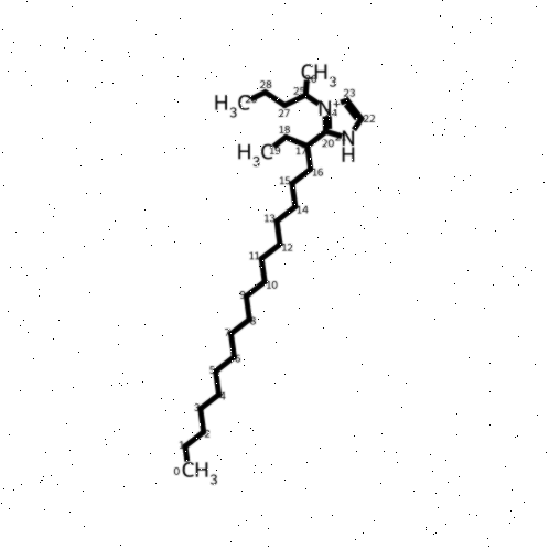 CCCCCCCCCCCCCCCCCC(CC)c1[nH]cc[n+]1C(C)CCC